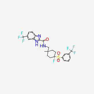 CC1(CNC(=O)c2nc3ccc(C(F)(F)F)cc3[nH]2)CCC(F)(S(=O)(=O)c2cccc(C(F)(F)F)c2)CC1